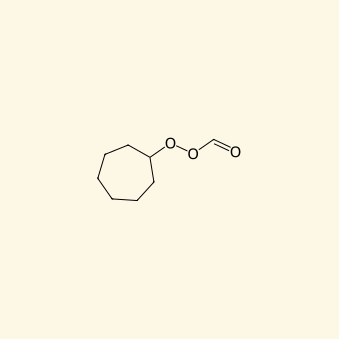 O=COOC1CCCCCC1